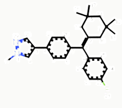 Cn1cc(-c2ccc(C(=C3CC(C)(C)CC(C)(C)C3)c3ccc(F)cc3)cc2)cn1